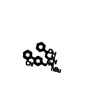 CCCCC1=NNC(CC(=O)c2ccccc2)N1Cc1ccc(-c2ccccc2C#N)cc1